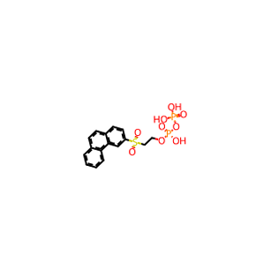 O=P(O)(O)OP(=O)(O)OCCS(=O)(=O)c1ccc2ccc3ccccc3c2c1